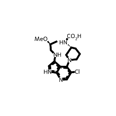 CO[C@@H](C)CNc1c[nH]c2ncc(Cl)c(N3CCC[C@@H](NC(=O)O)C3)c12